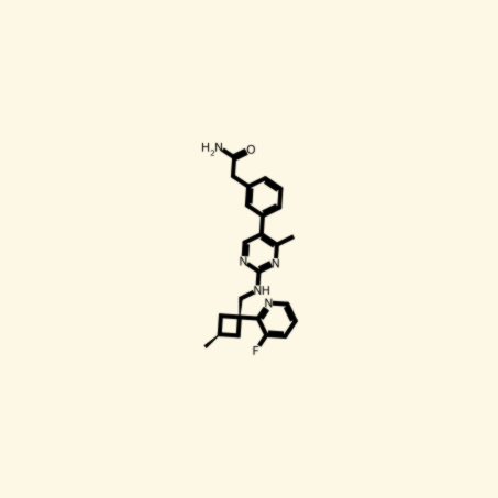 Cc1nc(NC[C@]2(c3ncccc3F)C[C@H](C)C2)ncc1-c1cccc(CC(N)=O)c1